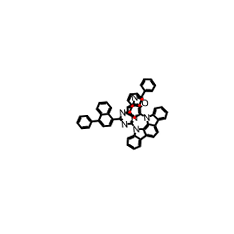 c1ccc(-c2nc(-c3ccc(-c4ccccc4)c4ccccc34)nc(-n3c4ccccc4c4ccc5c6ccccc6n(-c6cccc7nc(-c8ccccc8)oc67)c5c43)n2)cc1